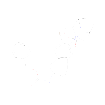 CC(C)(C)OC(=O)N1C2CCC1CN(c1cc3c(cc1Br)CC(NC(=O)OCc1ccccc1)CC3)C2